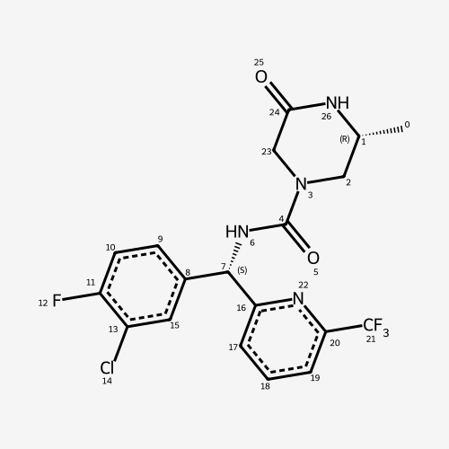 C[C@@H]1CN(C(=O)N[C@@H](c2ccc(F)c(Cl)c2)c2cccc(C(F)(F)F)n2)CC(=O)N1